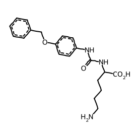 NCCCCC(NC(=O)Nc1ccc(OCc2ccccc2)cc1)C(=O)O